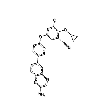 N#Cc1cc(Oc2ccc(-c3ccc4nc(N)cnc4c3)cc2)cc(Cl)c1OC1CC1